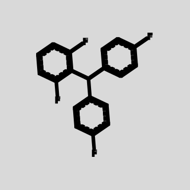 Fc1ccc(C(c2ccc(F)cc2)c2c(F)cccc2F)cc1